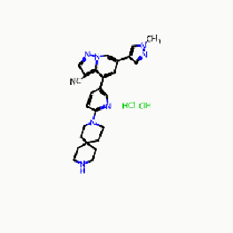 Cl.Cl.Cn1cc(-c2cc(-c3ccc(N4CCC5(CCNCC5)CC4)nc3)c3c(C#N)cnn3c2)cn1